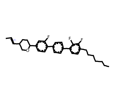 C/C=C/C1CCC(c2ccc(-c3ccc(-c4ccc(CCCCCCC)c(F)c4F)cc3)c(F)c2)OC1